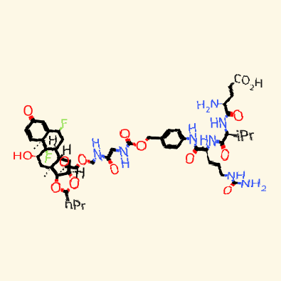 CCCC1O[C@@H]2C[C@H]3[C@@H]4C[C@H](F)C5=CC(=O)C=C[C@]5(C)[C@@]4(F)[C@@H](O)C[C@]3(C)[C@]2(C(=O)COCNC(=O)CNC(=O)OCc2ccc(NC(=O)[C@H](CCCNC(N)=O)NC(=O)[C@@H](NC(=O)[C@H](N)CCC(=O)O)C(C)C)cc2)O1